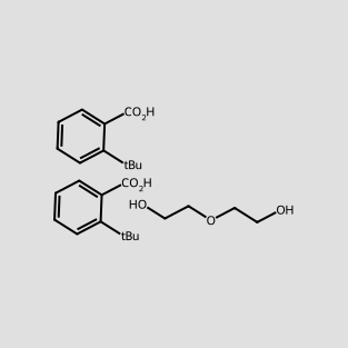 CC(C)(C)c1ccccc1C(=O)O.CC(C)(C)c1ccccc1C(=O)O.OCCOCCO